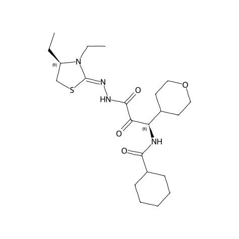 CC[C@@H]1CSC(=NNC(=O)C(=O)[C@H](NC(=O)C2CCCCC2)C2CCOCC2)N1CC